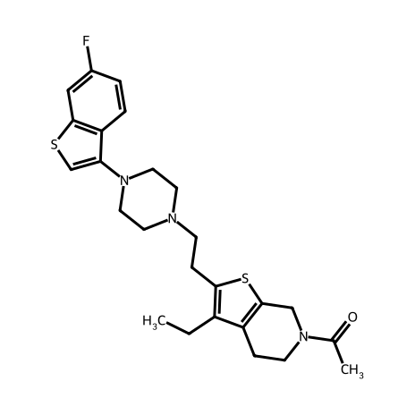 CCc1c(CCN2CCN(c3csc4cc(F)ccc34)CC2)sc2c1CCN(C(C)=O)C2